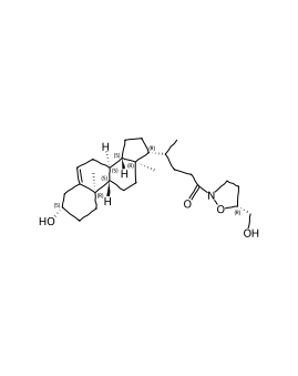 CC(CCC(=O)N1CC[C@H](CO)O1)[C@H]1CC[C@H]2[C@@H]3CC=C4C[C@@H](O)CC[C@]4(C)[C@H]3CC[C@]12C